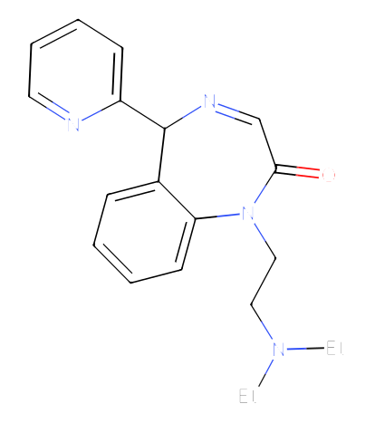 CCN(CC)CCN1C(=O)C=NC(c2ccccn2)c2ccccc21